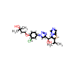 C=C(C)c1sc2cncn2c1C(O)c1cn(-c2ccc(OCCC(C)(C)O)c(Cl)c2)nn1